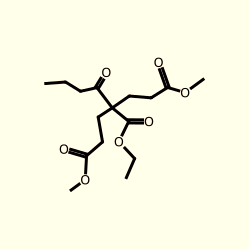 CCCC(=O)C(CCC(=O)OC)(CCC(=O)OC)C(=O)OCC